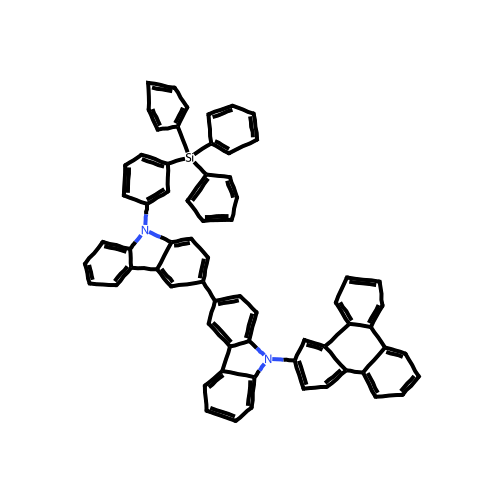 c1ccc([Si](c2ccccc2)(c2ccccc2)c2cccc(-n3c4ccccc4c4cc(-c5ccc6c(c5)c5ccccc5n6-c5ccc6c7ccccc7c7ccccc7c6c5)ccc43)c2)cc1